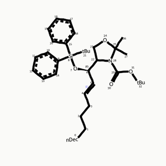 CCCCCCCCCCCCC/C=C/[C@@H](O[Si](c1ccccc1)(c1ccccc1)C(C)(C)C)C1COC(C)(C)N1C(=O)OC(C)(C)C